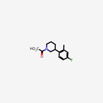 Cc1cc(F)ccc1C1CCCN(C(=O)C(=O)O)C1